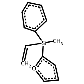 C=C[Si](C)(c1ccccc1)c1ccco1